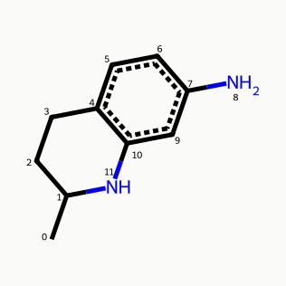 CC1CCc2ccc(N)cc2N1